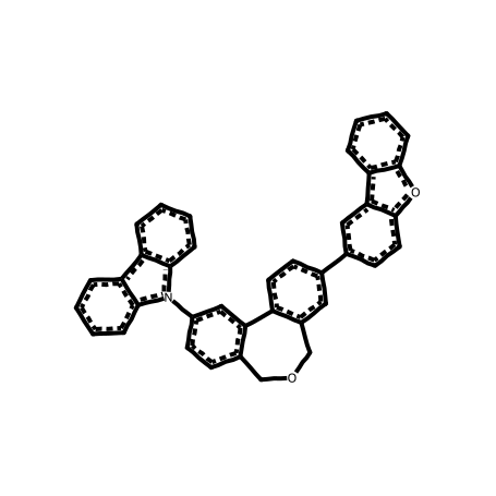 c1ccc2c(c1)oc1ccc(-c3ccc4c(c3)COCc3ccc(-n5c6ccccc6c6ccccc65)cc3-4)cc12